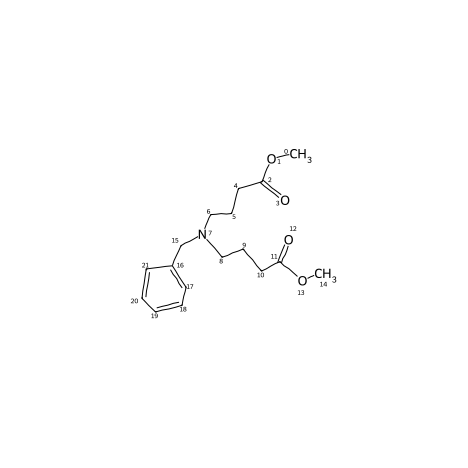 COC(=O)CCCN(CCCC(=O)OC)Cc1ccccc1